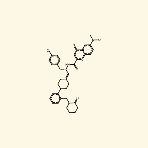 CC(=O)N(C)c1ccc2oc(C(=O)N[C@H](C=C3CCC(c4ccccc4CN4CCCCC4=O)CC3)Cc3ccc(Cl)cc3)cc(=O)c2c1